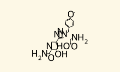 COc1ccc(Cn2cc(-c3cnc(C(N)=O)c(O)c3)nn2)cc1.NCC(=O)O